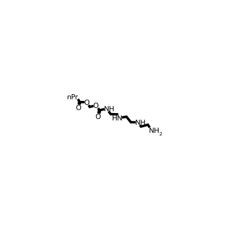 CCCC(=O)OCOC(=O)NCCNCCNCCN